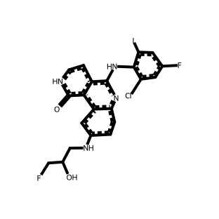 O=c1[nH]ccc2c(Nc3c(Cl)cc(F)cc3I)nc3ccc(NCC(O)CF)cc3c12